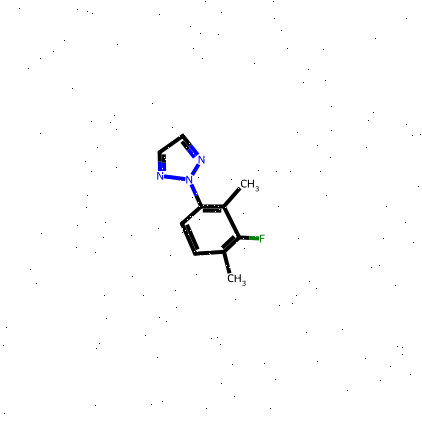 Cc1ccc(-n2nccn2)c(C)c1F